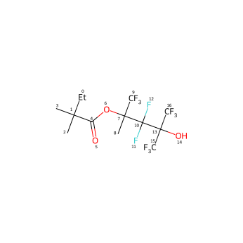 CCC(C)(C)C(=O)OC(C)(C(F)(F)F)C(F)(F)C(O)(C(F)(F)F)C(F)(F)F